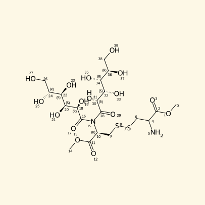 COC(=O)C(N)CSSC[C@@H](C(=O)OC)N(C(=O)[C@H](O)[C@@H](O)[C@H](O)[C@H](O)CO)C(=O)[C@H](O)[C@@H](O)[C@H](O)[C@H](O)CO